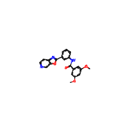 COc1cc(OC)cc(C(=O)Nc2cccc(-c3nc4ccncc4o3)c2)c1